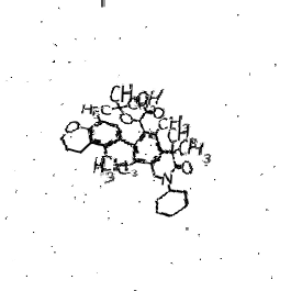 Cc1c(-c2c(C)c3c(c(C)c2C(OC(C)(C)C)C(=O)O)C(C)(C)C(=O)N(C2CCCCC2)C3)cc(F)c2c1CCCO2